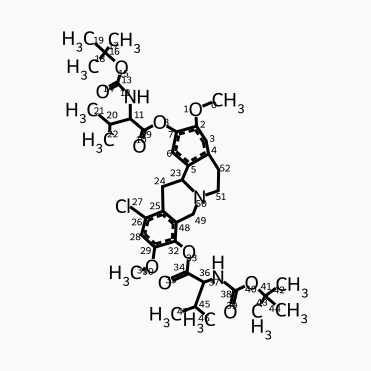 COc1cc2c(cc1OC(=O)C(NC(=O)OC(C)(C)C)C(C)C)C1Cc3c(Cl)cc(OC)c(OC(=O)C(NC(=O)OC(C)(C)C)C(C)C)c3CN1CC2